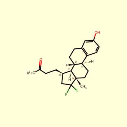 COC(=O)CC[C@@H]1CC(F)(F)[C@@]2(C)CC[C@@H]3c4ccc(O)cc4CC[C@H]3[C@H]12